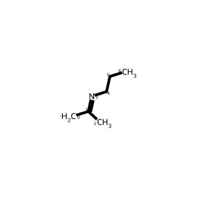 [CH2]C(C)=NCCC